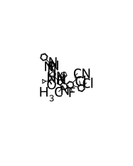 Cc1nc2c(F)c(-c3cccc(Cl)c3Cl)c(CCC#N)cc2c2c1cc(C1CC(n3nnc(-c4ccccc4)n3)CN1C(=O)C1CC1)n2C1C2CNC1C2